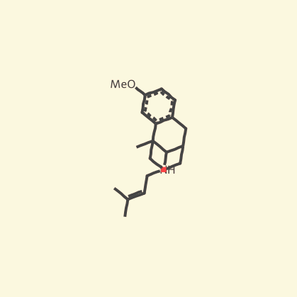 COc1ccc2c(c1)C1(C)CCCC(C2)C1NCC=C(C)C